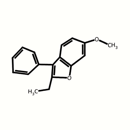 CCc1oc2cc(OC)ccc2c1-c1ccccc1